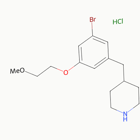 COCCOc1cc(Br)cc(CC2CCNCC2)c1.Cl